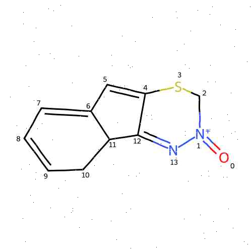 O=[N+]1CSC2=CC3=CC=CCC3C2=N1